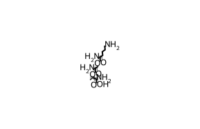 C[C@@H](OC(=O)[C@@H](N)COC(=O)[C@@H](N)CCCCN)[C@H](N)C(=O)O